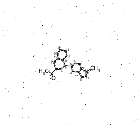 CC(=O)c1cc(-c2ccc3c(ccn3C)c2)c2ccccc2n1